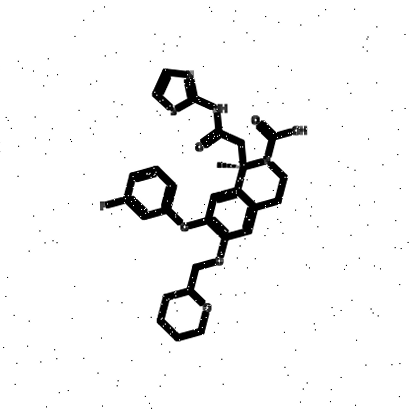 C[C@@]1(CC(=O)Nc2nccs2)c2cc(Oc3cccc(F)c3)c(OCC3CCCCO3)cc2CCN1C(=O)O